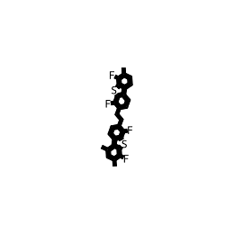 Cc1ccc2c(sc3c(F)c(CCc4ccc5c(sc6c(F)c(C)cc(C)c65)c4F)ccc32)c1F